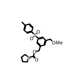 COCc1cc(COC(=O)N2CCCC2)cc(S(=O)(=O)c2ccc(C)cc2)c1